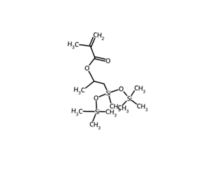 C=C(C)C(=O)OC(C)C[Si](C)(O[Si](C)(C)C)O[Si](C)(C)C